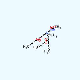 CCCCCCCCCOC(=O)CCCCCCCN(CCCNC(=O)COC)C(CCC)CCCCC(CCCCCCCC)C(=O)OCCCCCCC